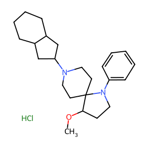 COC1CCN(c2ccccc2)C12CCN(C1CC3CCCCC3C1)CC2.Cl